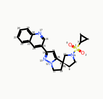 O=S(=O)(C1CC1)N1CC[C@]2(CCn3nc(-c4cnc5ccccc5c4)cc32)C1